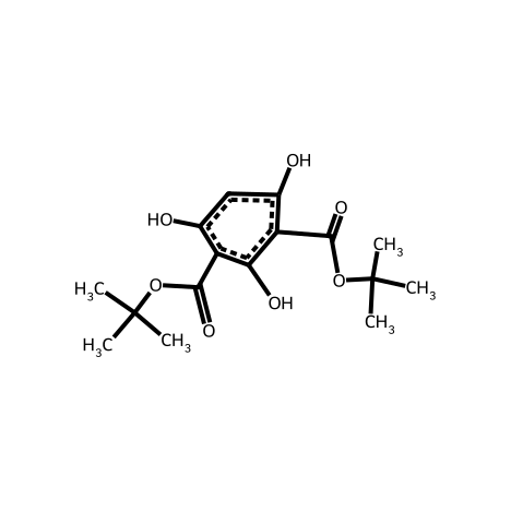 CC(C)(C)OC(=O)c1c(O)cc(O)c(C(=O)OC(C)(C)C)c1O